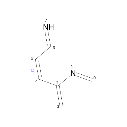 C=NC(=C)/C=C\C=N